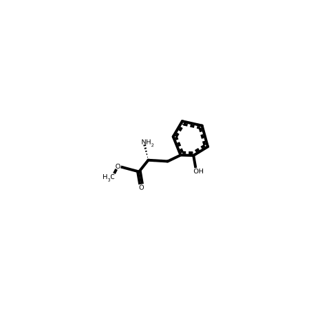 COC(=O)[C@H](N)Cc1ccccc1O